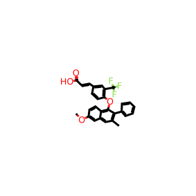 COc1ccc2c(Oc3ccc(/C=C/C(=O)O)cc3C(F)(F)F)c(-c3ccccc3)c(C)cc2c1